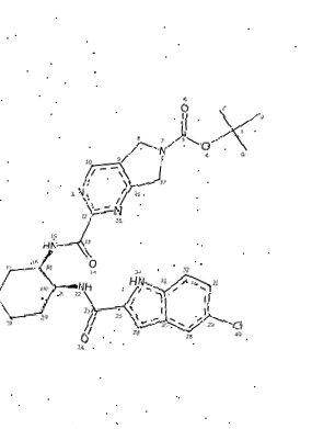 CC(C)(C)OC(=O)N1Cc2cnc(C(=O)N[C@@H]3CCCC[C@@H]3NC(=O)c3cc4cc(Cl)ccc4[nH]3)nc2C1